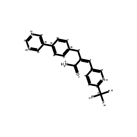 NC(=O)/C(=C\c1ccc(C(F)(F)F)nc1)Cc1ccc(-c2cncnc2)cc1